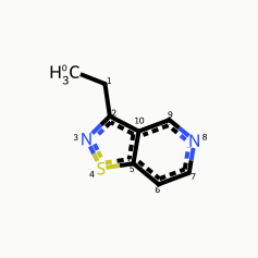 CCc1nsc2ccncc12